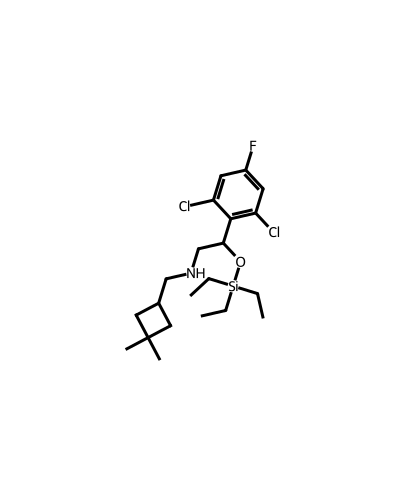 CC[Si](CC)(CC)OC(CNCC1CC(C)(C)C1)c1c(Cl)cc(F)cc1Cl